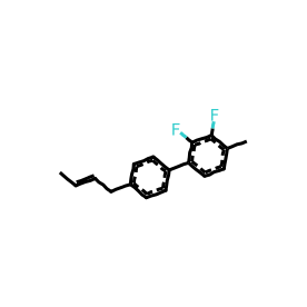 CC=CCc1ccc(-c2ccc(C)c(F)c2F)cc1